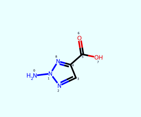 Nn1ncc(C(=O)O)n1